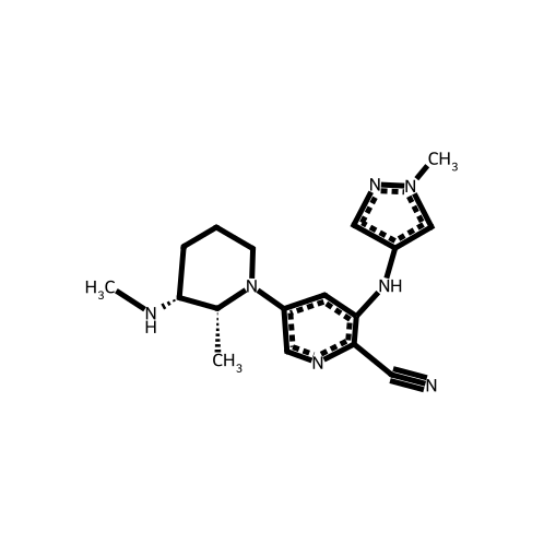 CN[C@@H]1CCCN(c2cnc(C#N)c(Nc3cnn(C)c3)c2)[C@@H]1C